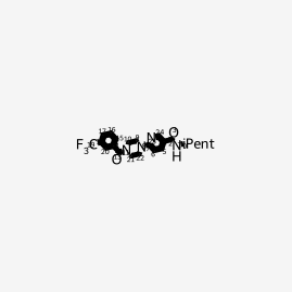 CCCC(C)NC(=O)c1ccc(N2CCN(C(=O)c3cccc(C(F)(F)F)c3)CC2)nc1